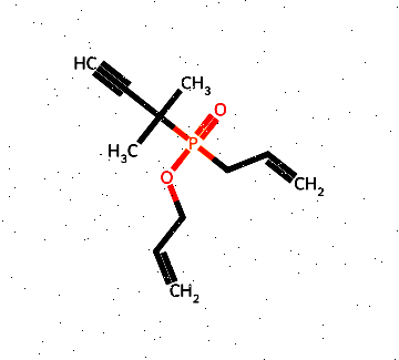 C#CC(C)(C)P(=O)(CC=C)OCC=C